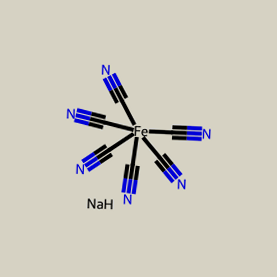 N#[C][Fe]([C]#N)([C]#N)([C]#N)([C]#N)[C]#N.[NaH]